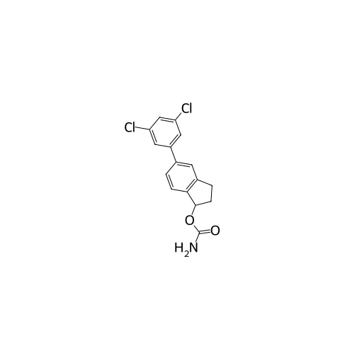 NC(=O)OC1CCc2cc(-c3cc(Cl)cc(Cl)c3)ccc21